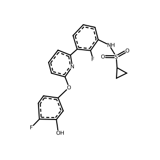 O=S(=O)(Nc1cccc(-c2cccc(Oc3ccc(F)c(O)c3)n2)c1F)C1CC1